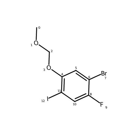 COCOc1cc(Br)c(F)cc1I